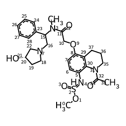 CO[SH](=O)=Nc1ccc(OCC(=O)N(C)C(CN2CC[C@H](O)C2)c2ccccc2)c2c1N(C(C)=O)CCC2